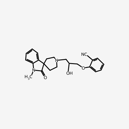 CN1C(=O)C2(CCN(CC(O)COc3ccccc3C#N)CC2)c2ccccc21